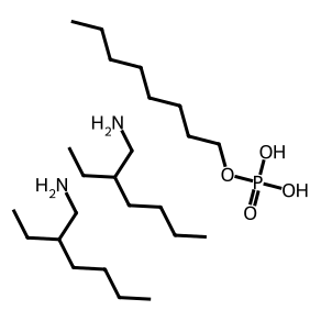 CCCCC(CC)CN.CCCCC(CC)CN.CCCCCCCCOP(=O)(O)O